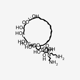 C[C@@H]1[C@H](O)[C@@H](C)/C=C/C=C/C=C/C=C/C=C/C=C/C=C/[C@H](OC2O[C@H](C)[C@@H](O)[C@H](N(CCCN)CCCN)[C@@H]2O)CC2O[C@](O)(C[C@@H](O)C[C@@H](O)[C@H](O)CC[C@@H](O)C[C@@H](O)CC(=O)O[C@H]1C)C[C@H](O)[C@H]2C(=O)O